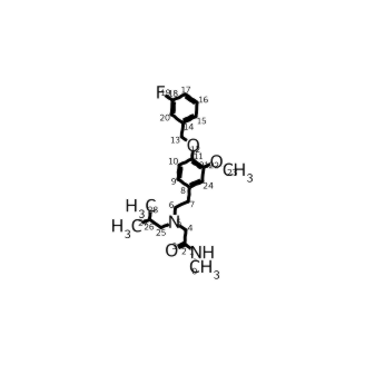 CNC(=O)CN(CCc1ccc(OCc2cccc(F)c2)c(OC)c1)CC(C)C